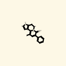 Cc1cc(-c2ccccc2)c(=O)n2c1-c1ccsc1CC2